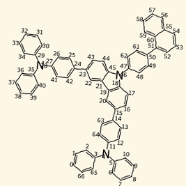 c1ccc(N(c2ccccc2)c2ccc(-c3ccc4c(c3)c3cc(-c5ccc(N(c6ccccc6)c6ccccc6)cc5)ccc3n4-c3ccc(-c4cccc5ccccc45)cc3)cc2)cc1